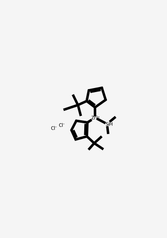 C[SiH](C)[Zr+2]([C]1=C(C(C)(C)C)C=CC1)[C]1=C(C(C)(C)C)C=CC1.[Cl-].[Cl-]